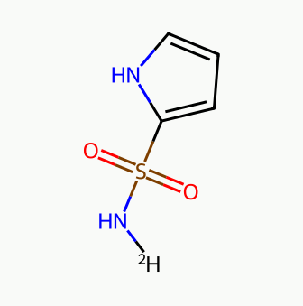 [2H]NS(=O)(=O)c1ccc[nH]1